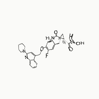 NC(=O)[C@@]1(Cc2ccc(OCc3cc(N4CCCCC4)nc4ccccc34)c(F)c2)C[C@@H]1C(=O)NO